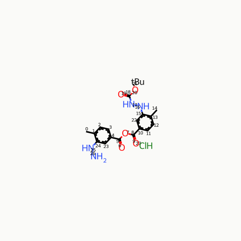 Cc1ccc(C(=O)OC(=O)c2ccc(C)c(NNC(=O)OC(C)(C)C)c2)cc1NN.Cl